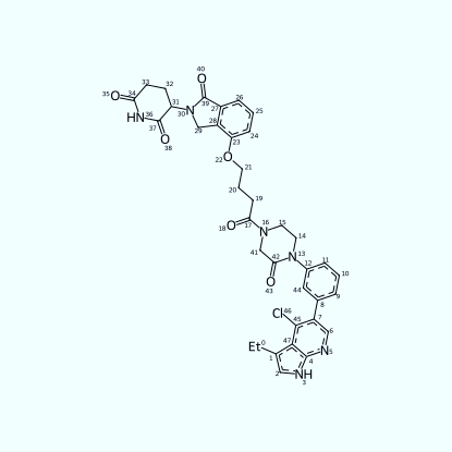 CCc1c[nH]c2ncc(-c3cccc(N4CCN(C(=O)CCCOc5cccc6c5CN(C5CCC(=O)NC5=O)C6=O)CC4=O)c3)c(Cl)c12